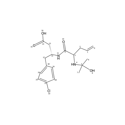 C=CCC(NC(C)(C)O)C(=O)N[C@@H](CC(=O)O)Cc1ccc(Cl)cc1